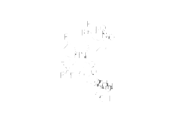 CC12CCC(C(=O)OC(C(=O)Nc3ccc([N+](=O)[O-])c(C(F)(F)F)c3)C(c3ccc(F)cc3)C(F)(F)F)(OC1=O)C2(C)C